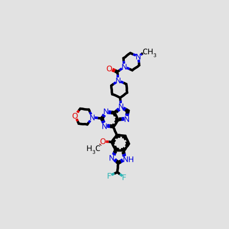 COc1c(-c2nc(N3CCOCC3)nc3c2ncn3C2CCN(C(=O)N3CCN(C)CC3)CC2)ccc2[nH]c(C(F)F)nc12